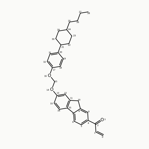 C=CC(=O)c1ccc2c(c1)Cc1cc(OCOc3ccc(C4CCC(CCCC)CC4)cc3)ccc1-2